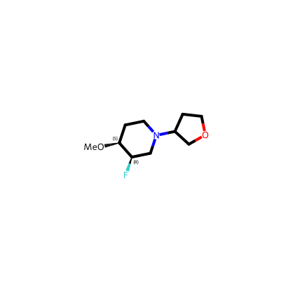 CO[C@H]1CCN(C2CCOC2)C[C@H]1F